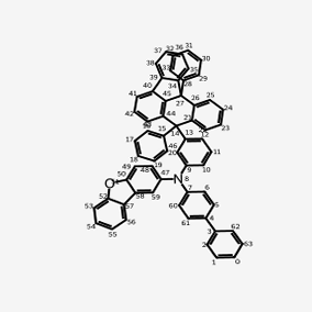 c1ccc(-c2ccc(N(c3cccc(C4(c5ccccc5)c5ccccc5C5(c6ccccc6)c6ccccc6-c6cccc4c65)c3)c3ccc4oc5ccccc5c4c3)cc2)cc1